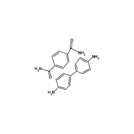 NC(=O)c1ccc(C(N)=O)cc1.Nc1ccc(-c2ccc(N)cc2)cc1